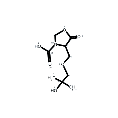 CC(C)(O)COCC1C(=O)OCN1C(=O)O